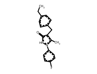 CCc1ccc(Cc2c(C)n(-c3ccc(F)cc3)[nH]c2=O)cc1